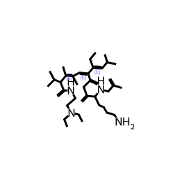 C=C(C)CNC(CCCCN)C(=C)CC(=C)C(=C\C(C)=C(/C)C(C(=C)NCCN(CC)CC)C(C)C)/C(=C/C(C)C)CC